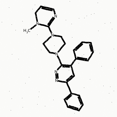 CN1CC=CN=C1N1CCN(c2nnc(-c3ccccc3)cc2-c2ccccc2)CC1